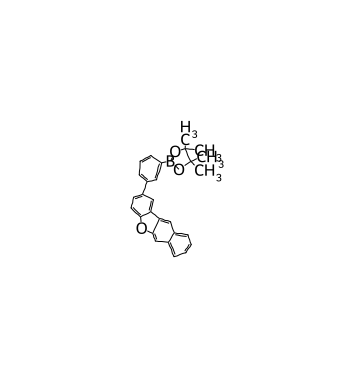 CC1(C)OB(c2cccc(-c3ccc4oc5cc6ccccc6cc5c4c3)c2)OC1(C)C